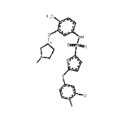 CN1CC[C@@H](Oc2cc(NS(=O)(=O)c3ccc(Sc4ccc(F)c(Cl)c4)s3)ccc2C(F)(F)F)C1